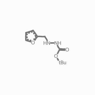 CC(C)(C)OC(=O)NNCc1ccco1